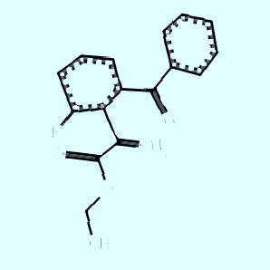 C=C(C(=O)OCC)c1c(F)cccc1C(=O)c1ccccc1